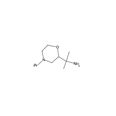 CC(C)N1CCOC(C(C)(C)N)C1